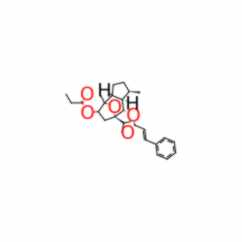 CCC(=O)O[C@@H]1C[C@]2(C(C)C)OC1(C)[C@@H]1CC[C@@H](C)[C@H]1[C@@H]2OC(=O)/C=C/c1ccccc1